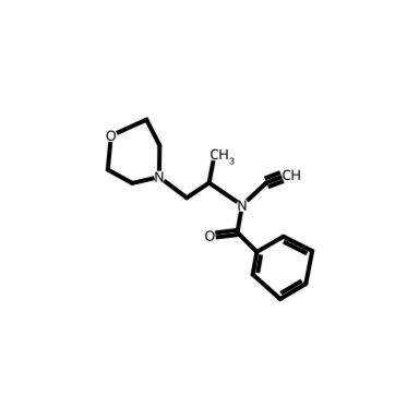 C#CN(C(=O)c1ccccc1)C(C)CN1CCOCC1